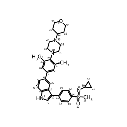 Cc1cc(-c2cnc3[nH]cc(-c4ccc(S(C)(=O)=NC5CC5)cc4)c3c2)cc(C)c1N1CCN(C2CCOCC2)CC1